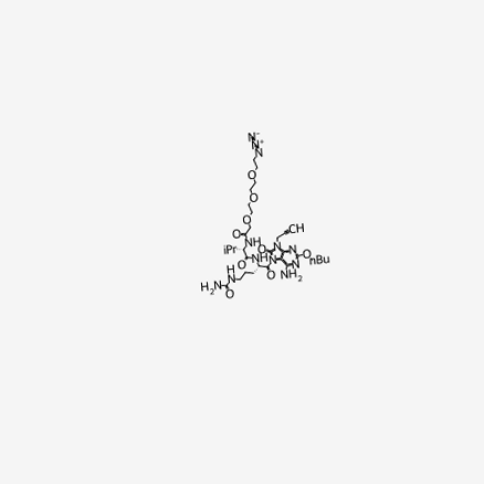 C#CCn1c(=O)n(C(=O)[C@H](CCCNC(N)=O)NC(=O)[C@@H](NC(=O)COCCOCCOCCN=[N+]=[N-])C(C)C)c2c(N)nc(OCCCC)nc21